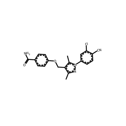 Cc1nn(-c2ccc(C#N)c(Cl)c2)c(C)c1COc1ccc(C(N)=O)cc1